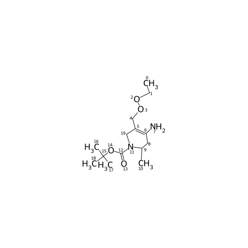 CCOOCC1=C(N)CC(C)N(C(=O)OC(C)(C)C)C1